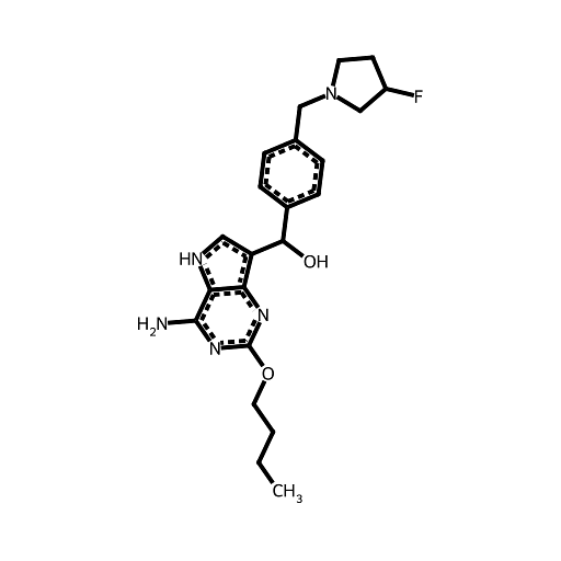 CCCCOc1nc(N)c2[nH]cc(C(O)c3ccc(CN4CCC(F)C4)cc3)c2n1